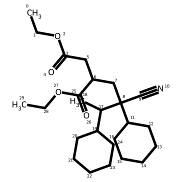 CCOC(=O)CC(CC(C#N)(C1CCCCC1)C(C)C1CCCCC1)C(=O)OCC